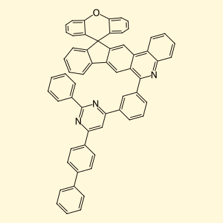 c1ccc(-c2ccc(-c3cc(-c4cccc(-c5nc6ccccc6c6cc7c(cc56)-c5ccccc5C75c6ccccc6Oc6ccccc65)c4)nc(-c4ccccc4)n3)cc2)cc1